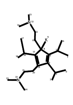 CC(C)C1=C(C(C)C)[C]([K])(CCN(C)C)C(C(C)C)=C1CCN(C)C